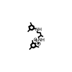 Cc1cc(C)cc(NCCC(C)CNS(=O)(=O)c2c(C)cc(C)cc2C)c1